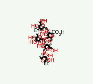 CC[C@@H]1OC(C)[C@H](COC[C@@H]2OC(CO)[C@@H](COC[C@@H]3OC(C(=O)O)[C@@H](COC[C@@H]4OC(CO)[C@@H](O)[C@@H](CC)C4O)[C@@H](O)C3O)[C@@H](COC[C@@H]3OC(C)[C@@H](O)[C@H](O)C3O)C2O)[C@H](O)C1O